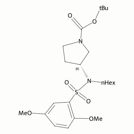 CCCCCCN([C@@H]1CCN(C(=O)OC(C)(C)C)C1)S(=O)(=O)c1cc(OC)ccc1OC